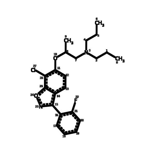 CCCN(CCC)CC(C)Oc1ccc2c(-c3ccccc3F)noc2c1Cl